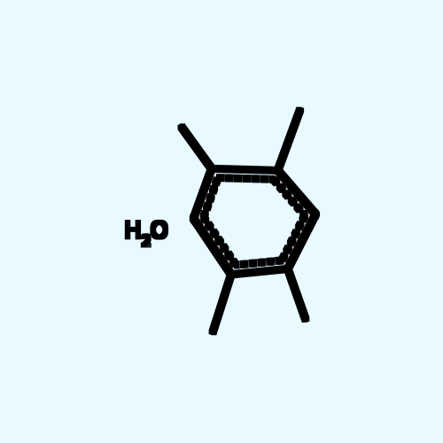 Cc1cc(C)c(C)cc1C.O